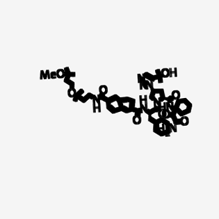 COC(C)(C)CCOC(C)(C)CCNC(=O)c1ccc2cc(C(=O)N[C@H](CC3CCCCC3)C(=O)N3C[C@@H](n4nncc4C(C)(C)O)C[C@H]3C(=O)NC3(C(=O)C(N)=O)CCCCC3)ccc2c1